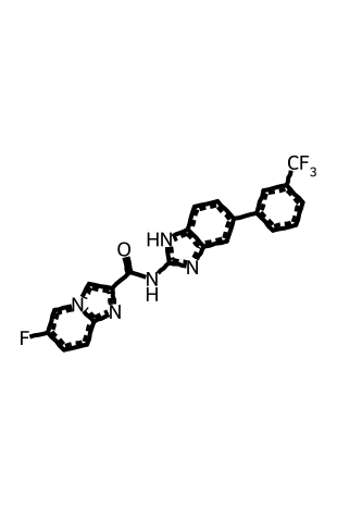 O=C(Nc1nc2cc(-c3cccc(C(F)(F)F)c3)ccc2[nH]1)c1cn2cc(F)ccc2n1